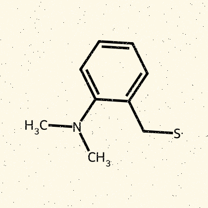 CN(C)c1ccccc1C[S]